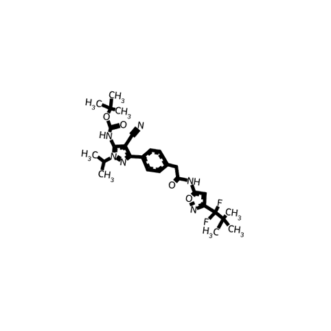 CC(C)n1nc(-c2ccc(CC(=O)Nc3cc(C(F)(F)C(C)(C)C)no3)cc2)c(C#N)c1NC(=O)OC(C)(C)C